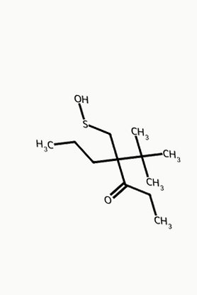 CCCC(CSO)(C(=O)CC)C(C)(C)C